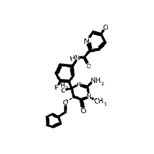 CN1C(=O)[C@H](OCc2ccccc2)C(C)(c2cc(NC(=O)c3ccc(Cl)cn3)ccc2F)N=C1N